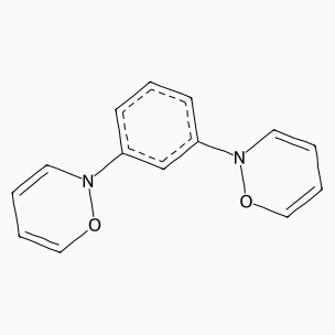 C1=CON(c2cccc(N3C=CC=CO3)c2)C=C1